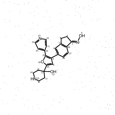 O/N=C1\CCc2cc(-c3cc(C4(O)CCNCC4)oc3-c3ccncc3)ccc21